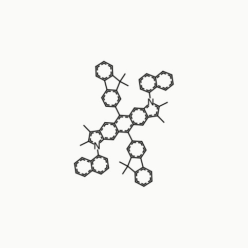 Cc1c(C)n(-c2cccc3ccccc23)c2cc3c(-c4ccc5c(c4)C(C)(C)c4ccccc4-5)c4cc5c(C)c(C)n(-c6cccc7ccccc67)c5cc4c(-c4ccc5c(c4)C(C)(C)c4ccccc4-5)c3cc12